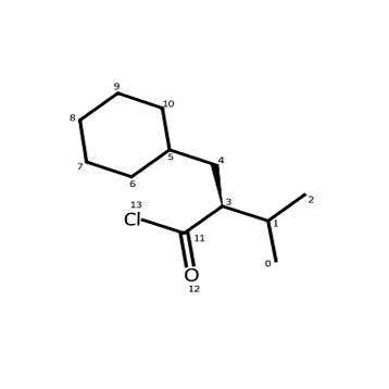 CC(C)[C@H](CC1CCCCC1)C(=O)Cl